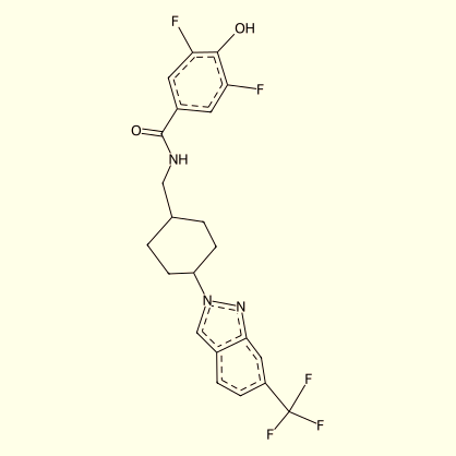 O=C(NCC1CCC(n2cc3ccc(C(F)(F)F)cc3n2)CC1)c1cc(F)c(O)c(F)c1